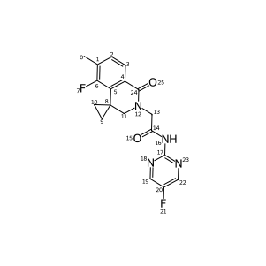 Cc1ccc2c(c1F)C1(CC1)CN(CC(=O)Nc1ncc(F)cn1)C2=O